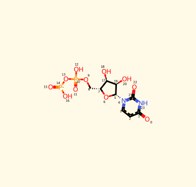 O=c1ccn([C@@H]2O[C@H](COP(=O)(O)O[P](=O)O)[C@@H](O)[C@H]2O)c(=O)[nH]1